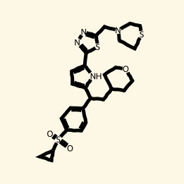 O=S(=O)(c1ccc(C(CC2CCOCC2)c2ccc(-c3nnc(CN4CCSCC4)s3)[nH]2)cc1)C1CC1